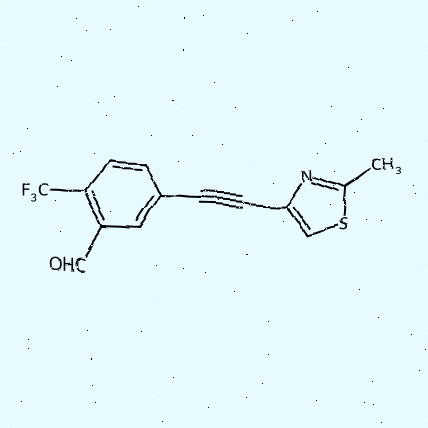 Cc1nc(C#Cc2ccc(C(F)(F)F)c(C=O)c2)cs1